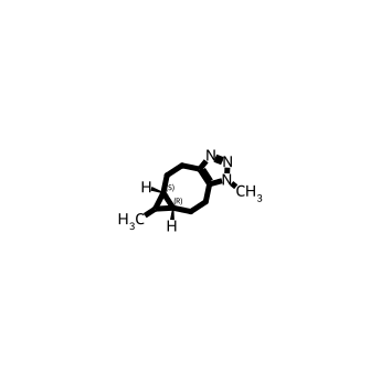 CC1[C@H]2CCc3c(nnn3C)CC[C@@H]12